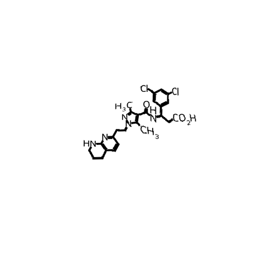 Cc1nn(CCc2ccc3c(n2)NCCC3)c(C)c1C(=O)NC(CC(=O)O)c1cc(Cl)cc(Cl)c1